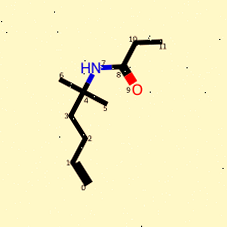 C=CCCC(C)(C)NC(=O)CC